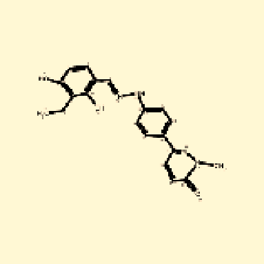 CCc1c(O)ccc(/C=N/Nc2ccc(-c3ccc(=O)n(C)n3)cc2)c1O